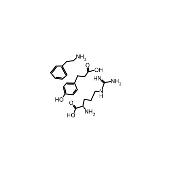 N=C(N)NCCC[C@@H](N)C(=O)O.NCCc1ccccc1.O=C(O)CCc1ccc(O)cc1